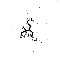 CCCC(CCC)C(C)(C)CO